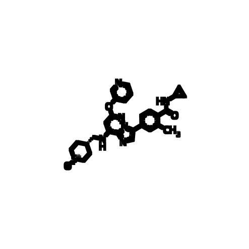 Cc1cc(-c2cnc3c(NC[C@H]4CC[S@+]([O-])CC4)cc(Oc4cccnc4)nn23)ccc1C(=O)NC1CC1